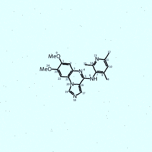 COc1cc2nc(Nc3c(C)cc(C)nc3C)c3cncn3c2cc1OC